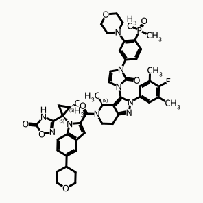 Cc1cc(-n2nc3c(c2-n2ccn(-c4ccc(P(C)(C)=O)c(N5CCOCC5)c4)c2=O)[C@H](C)N(C(=O)c2cc4cc(C5CCOCC5)ccc4n2[C@@]2(c4noc(=O)[nH]4)C[C@@H]2C)CC3)cc(C)c1F